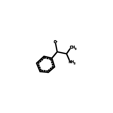 CC(N)C([O])c1ccccc1